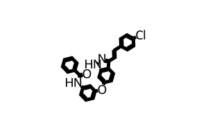 O=C(Nc1cccc(Oc2ccc3c(/C=C/c4ccc(Cl)cc4)n[nH]c3c2)c1)c1ccccc1